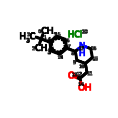 CC(C)(C)c1ccc(C2CC(CC(=O)O)CCN2)cc1.Cl